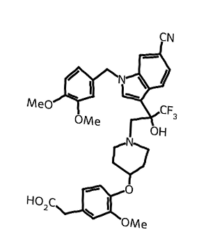 COc1ccc(Cn2cc(C(O)(CN3CCC(Oc4ccc(CC(=O)O)cc4OC)CC3)C(F)(F)F)c3ccc(C#N)cc32)cc1OC